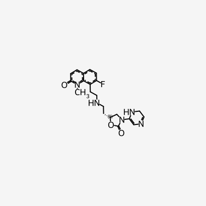 Cn1c(=O)ccc2ccc(F)c(CCNCC[C@@H]3CN(C4=CN=CCN4)C(=O)O3)c21